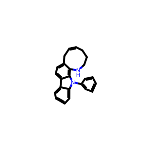 C1=C\Cc2ccc3c4ccccc4n(-c4ccccc4)c3c2NCCC/1